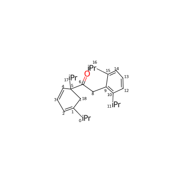 CC(C)C1=CC=CC(C(=O)Cc2c(C(C)C)cccc2C(C)C)(C(C)C)[CH]1